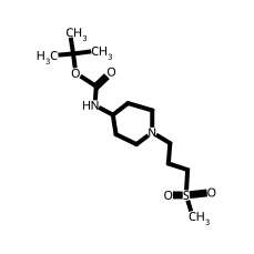 CC(C)(C)OC(=O)NC1CCN(CCCS(C)(=O)=O)CC1